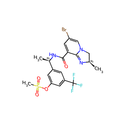 C[C@@H]1CN2C=C(Br)C=C(C(=O)N[C@H](C)c3cc(OS(C)(=O)=O)cc(C(F)(F)F)c3)C2=N1